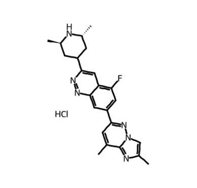 Cc1cn2nc(-c3cc(F)c4cc(C5C[C@@H](C)N[C@H](C)C5)nnc4c3)cc(C)c2n1.Cl